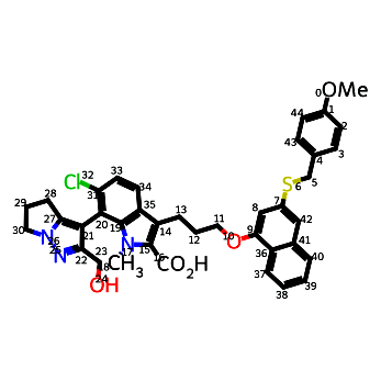 COc1ccc(CSc2cc(OCCCc3c(C(=O)O)n(C)c4c(-c5c(CO)nn6c5CCC6)c(Cl)ccc34)c3ccccc3c2)cc1